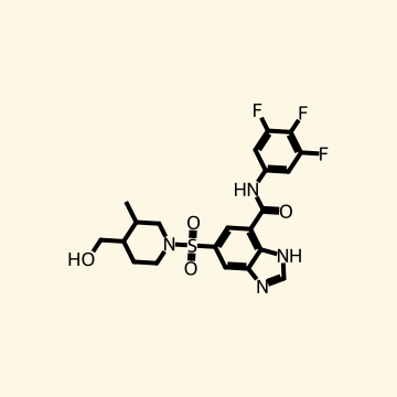 CC1CN(S(=O)(=O)c2cc(C(=O)Nc3cc(F)c(F)c(F)c3)c3[nH]cnc3c2)CCC1CO